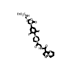 CCOC(=O)NC[C@H]1CN(c2cc(F)c(N3CCN(C(=O)CNC(=O)c4cnn5cccnc45)CC3)c(F)c2)C(=O)O1